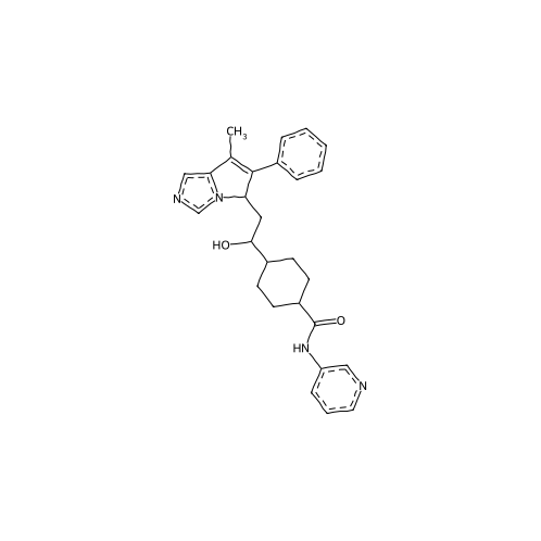 CC1=C(c2ccccc2)C(CC(O)C2CCC(C(=O)Nc3cccnc3)CC2)n2cncc21